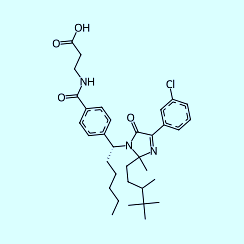 CCCCC[C@H](c1ccc(C(=O)NCCC(=O)O)cc1)N1C(=O)C(c2cccc(Cl)c2)=NC1(C)CCC(C)C(C)(C)C